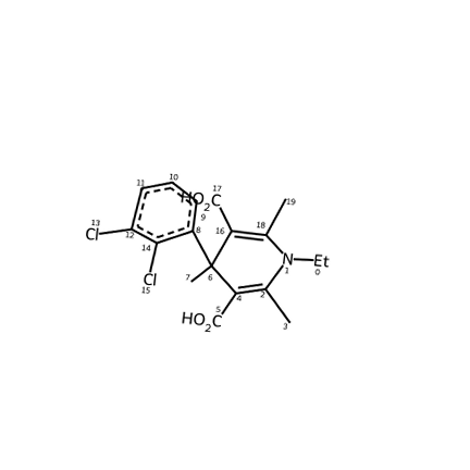 CCN1C(C)=C(C(=O)O)C(C)(c2cccc(Cl)c2Cl)C(C(=O)O)=C1C